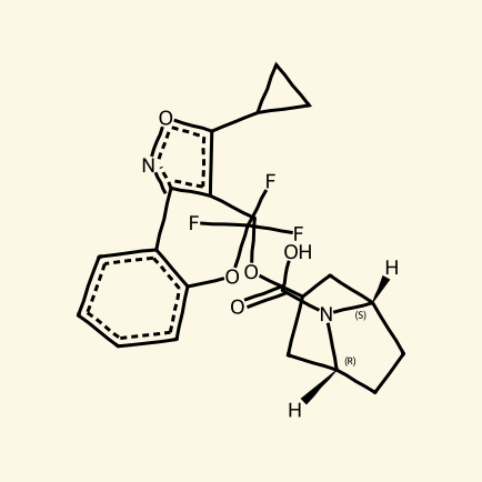 O=C(O)N1[C@@H]2CC[C@H]1CC(OCc1c(-c3ccccc3OC(F)(F)F)noc1C1CC1)C2